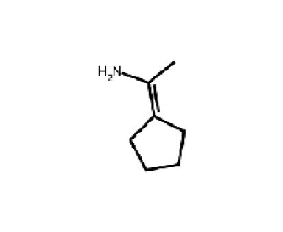 CC(N)=C1CCCC1